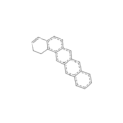 C1=Cc2ccc3cc4cc5ccccc5cc4cc3c2CC1